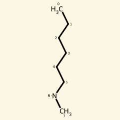 CCCCCC[N]C